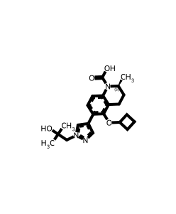 C[C@H]1CCc2c(ccc(-c3cnn(CC(C)(C)O)c3)c2OC2CCC2)N1C(=O)O